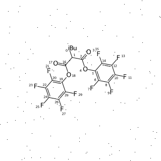 CCC(C)C(C(=O)Oc1c(F)c(F)c(F)c(F)c1F)C(=O)Oc1c(F)c(F)c(F)c(F)c1F